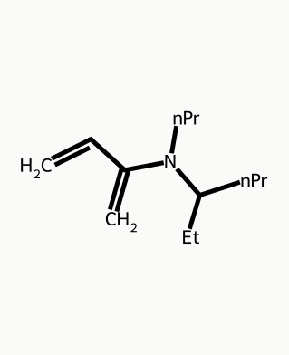 C=CC(=C)N(CCC)C(CC)CCC